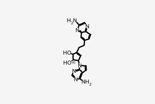 Nc1cnc2ccc(CCC3=CC(n4ccc5c(N)ncnc54)[C@@H](O)C3O)cc2n1